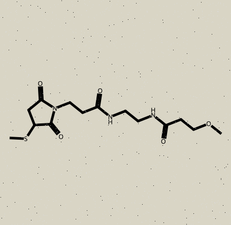 COCCC(=O)NCCNC(=O)CCN1C(=O)CC(SC)C1=O